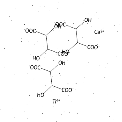 O=C([O-])C(O)C(O)C(=O)[O-].O=C([O-])C(O)C(O)C(=O)[O-].O=C([O-])C(O)C(O)C(=O)[O-].[Ca+2].[Ti+4]